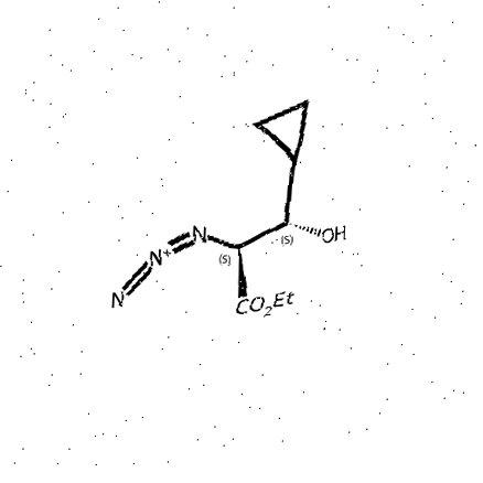 CCOC(=O)[C@@H](N=[N+]=[N-])[C@@H](O)C1CC1